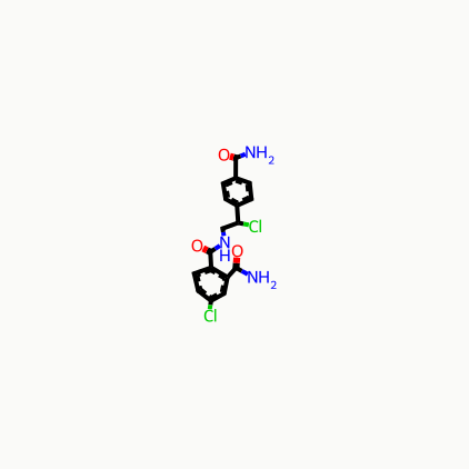 NC(=O)c1ccc(C(Cl)CNC(=O)c2ccc(Cl)cc2C(N)=O)cc1